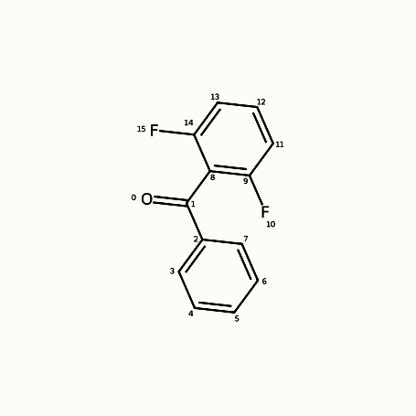 O=C(c1ccccc1)c1c(F)cccc1F